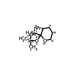 CCC[SiH2]C1(O[Si](C)(C)C)CCCCO1